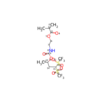 C=C(C)C(=O)OCCNC(=O)OC(C)CC(S(=O)(=O)C(F)(F)F)S(=O)(=O)C(F)(F)F